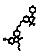 C=C(c1ccc(CCCN2CCC3(CC2)C(=C)N(CCC)c2ccc(Cl)cc23)cc1C(F)(F)F)N1CCSCC1